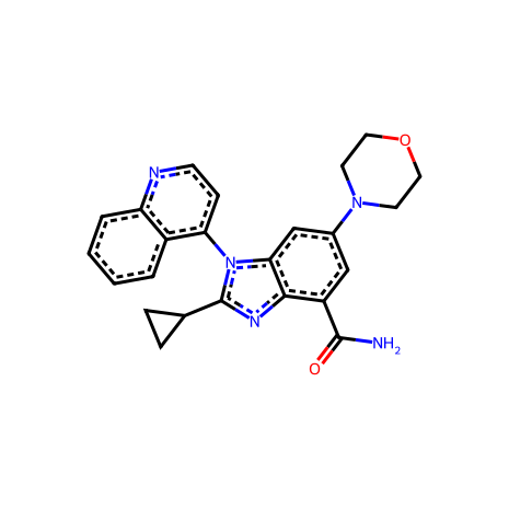 NC(=O)c1cc(N2CCOCC2)cc2c1nc(C1CC1)n2-c1ccnc2ccccc12